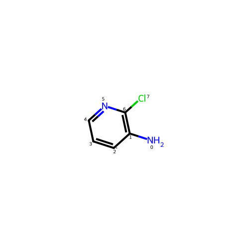 Nc1[c]ccnc1Cl